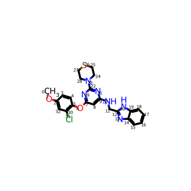 COc1ccc(Oc2cc(NCc3nc4ccccc4[nH]3)nc(N3CCSCC3)n2)c(Cl)c1